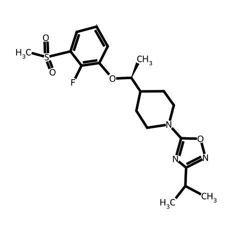 CC(C)c1noc(N2CCC([C@H](C)Oc3c[c]cc(S(C)(=O)=O)c3F)CC2)n1